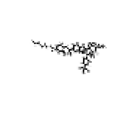 CCCCCCCOc1ccc2cc(-c3ccc(C[C@H](NC(=O)c4ccc(C(C)(C)C)cc4)C(=O)N[C@H](C)C(=O)O)cc3)ncc2c1